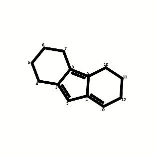 C1=C2C=C3CCCCC3=C2CCC1